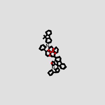 CC1(C)c2ccccc2-c2ccc(N(c3ccc4cc(-c5ccc6c(c5)C5(c7ccccc7-6)c6ccccc6-n6c7ccccc7c7cccc5c76)ccc4c3)c3ccccc3-c3cccc(-c4ccccc4)c3)cc21